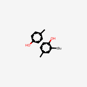 Cc1ccc(O)c(C(C)(C)C)c1.Cc1ccc(O)cc1